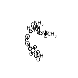 CN1CCN(C2CC3CC2N(c2nnc(C(N)=O)c(Nc4ccc(C5CCN(CC6CCN(c7ccc8c(c7)C(=O)CC(C7CCC(=O)NC7=O)C8=O)CC6)CC5)cc4)n2)C3)C1=O